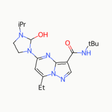 CCc1cc(N2CCN(C(C)C)C2O)nc2c(C(=O)NC(C)(C)C)cnn12